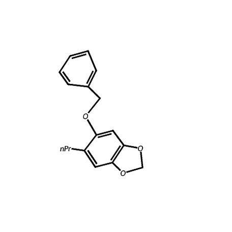 CCCc1cc2c(cc1OCc1ccccc1)OCO2